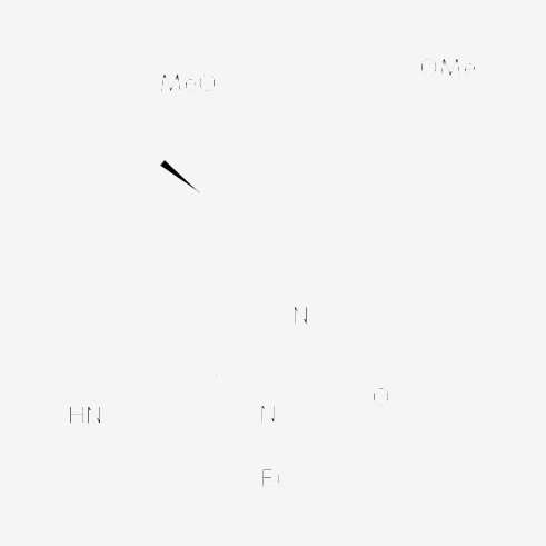 CCN1C(=O)N2Cc3cc(OC)cc(OC)c3[C@H](C)C=C2C12CCNCC2